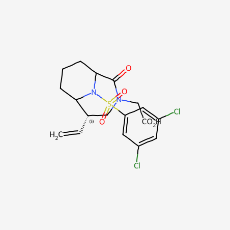 C=C[C@H]1CN(CC(=O)O)C(=O)C2CCCC1N2S(=O)(=O)c1cc(Cl)cc(Cl)c1